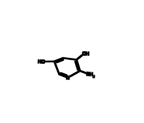 Nc1ncc(O)cc1O